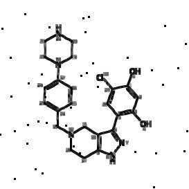 Oc1cc(O)c(-c2n[nH]c3c2CN(Cc2ccc(N4CCNCC4)cc2)CC3)cc1Cl